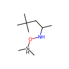 CC(CC(C)(C)C)NO[SiH](C)C